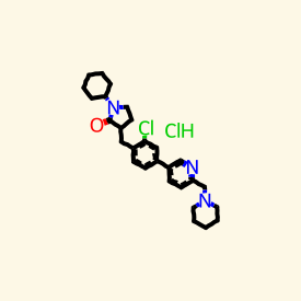 Cl.O=C1C(Cc2ccc(-c3ccc(CN4CCCCC4)nc3)cc2Cl)CCN1C1CCCCC1